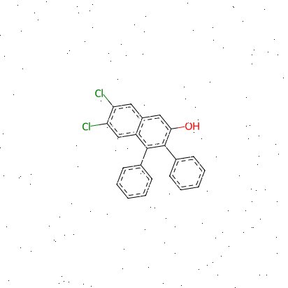 Oc1cc2cc(Cl)c(Cl)cc2c(-c2ccccc2)c1-c1ccccc1